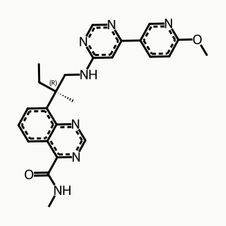 CC[C@@](C)(CNc1cc(-c2ccc(OC)nc2)ncn1)c1cccc2c(C(=O)NC)ncnc12